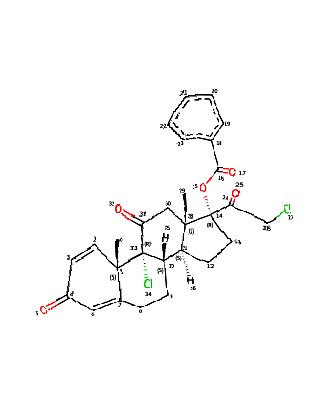 C[C@]12C=CC(=O)C=C1CC[C@H]1[C@@H]3CC[C@](OC(=O)c4ccccc4)(C(=O)CCl)[C@@]3(C)CC(=O)[C@@]12Cl